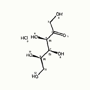 Cl.O=C(CO)[C@H](O)[C@@H](O)[C@H](O)CO